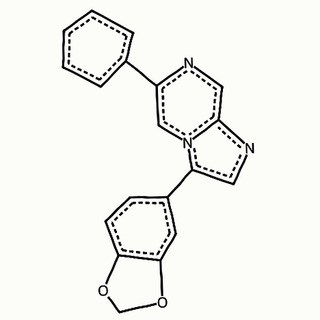 c1ccc(-c2cn3c(-c4ccc5c(c4)OCO5)cnc3cn2)cc1